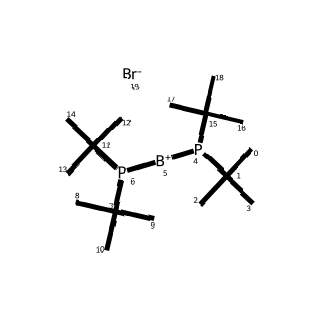 CC(C)(C)P([B+]P(C(C)(C)C)C(C)(C)C)C(C)(C)C.[Br-]